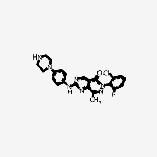 Cc1nn(-c2c(F)cccc2Cl)c(=O)c2cnc(Nc3ccc(N4CCNCC4)cc3)nc12